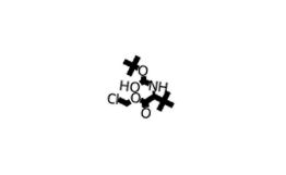 CC(C)(C)OC(O)N[C@H](C(=O)OCCl)C(C)(C)C